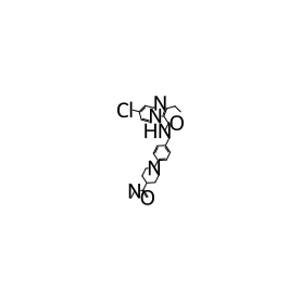 CCc1nc2cc(Cl)ccn2c1C(=O)NCc1ccc(N2CCC(C(=O)N(C)C)CC2)cc1